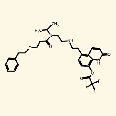 CC(C)N(CCNCCc1ccc(OC(=O)C(F)(F)F)c2[nH]c(=O)ccc12)C(=O)CCOCCc1ccccc1